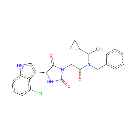 CC(C1CC1)N(Cc1ccccc1)C(=O)CN1C(=O)NC(c2c[nH]c3cccc(Cl)c23)C1=O